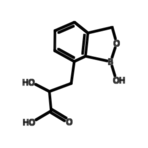 O=C(O)C(O)Cc1cccc2c1B(O)OC2